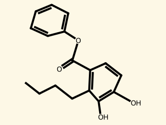 CCCCc1c(C(=O)Oc2ccccc2)ccc(O)c1O